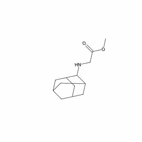 COC(=O)CNC1C2CC3CC(C2)CC1C3